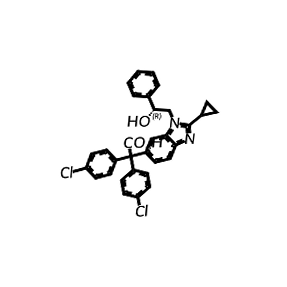 O=C(O)C(c1ccc(Cl)cc1)(c1ccc(Cl)cc1)c1ccc2nc(C3CC3)n(C[C@H](O)c3ccccc3)c2c1